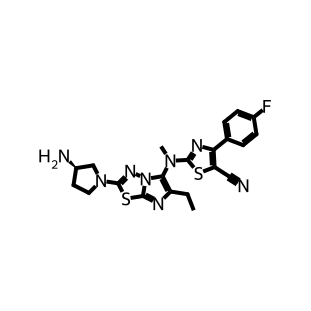 CCc1nc2sc(N3CC[C@@H](N)C3)nn2c1N(C)c1nc(-c2ccc(F)cc2)c(C#N)s1